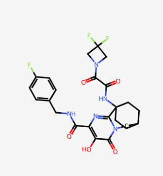 O=C(NC12CCC(CC1)Cn1c2nc(C(=O)NCc2ccc(F)cc2)c(O)c1=O)C(=O)N1CC(F)(F)C1